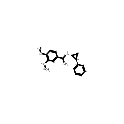 COc1ccc(C(C)N[C@@H]2C[C@H]2c2ccccc2)cc1OC